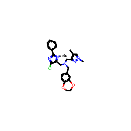 CCCCn1c(-c2ccccc2)nc(Cl)c1CN(Cc1ccc2c(c1)OCCO2)Cc1nn(C)cc1C